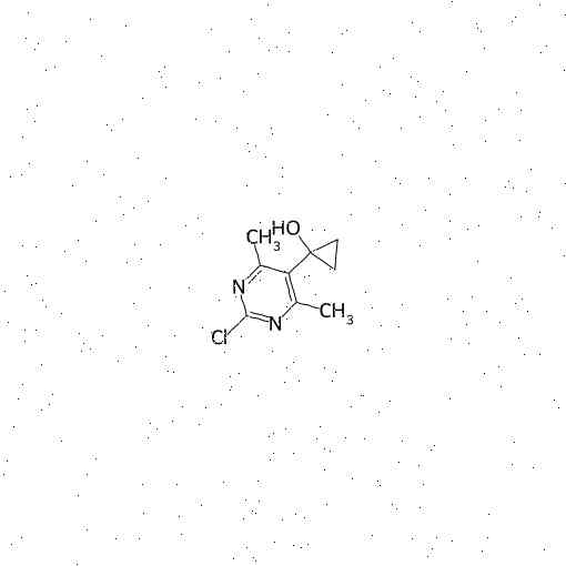 Cc1nc(Cl)nc(C)c1C1(O)CC1